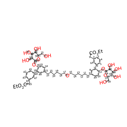 CCOC(=O)Cc1cccc(-c2cc(CCCCCCOCCCCCCc3ccc(O[C@@H]4O[C@H](CO)[C@@H](O)[C@H](O)[C@@H]4O)c(-c4cccc(CC(=O)OCC)c4)c3)ccc2O[C@@H]2O[C@H](CO)[C@@H](O)[C@H](O)[C@@H]2O)c1